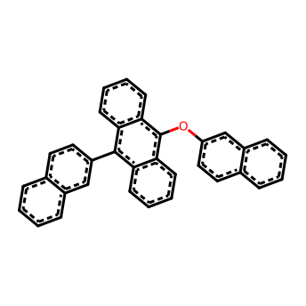 c1ccc2cc(Oc3c4ccccc4c(-c4ccc5ccccc5c4)c4ccccc34)ccc2c1